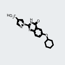 O=C(O)c1cnn(-c2nc3ccc(OC4CCCCC4)cc3c(=O)[nH]2)c1